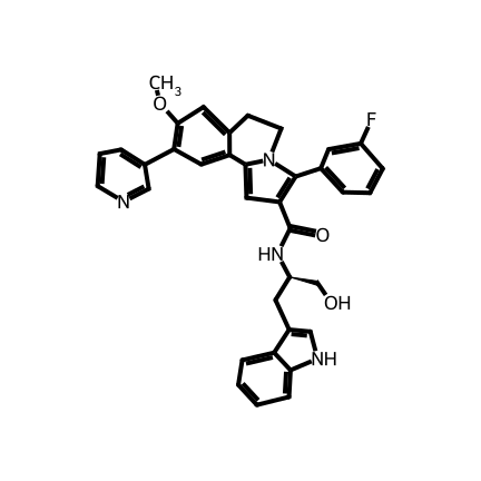 COc1cc2c(cc1-c1cccnc1)-c1cc(C(=O)N[C@@H](CO)Cc3c[nH]c4ccccc34)c(-c3cccc(F)c3)n1CC2